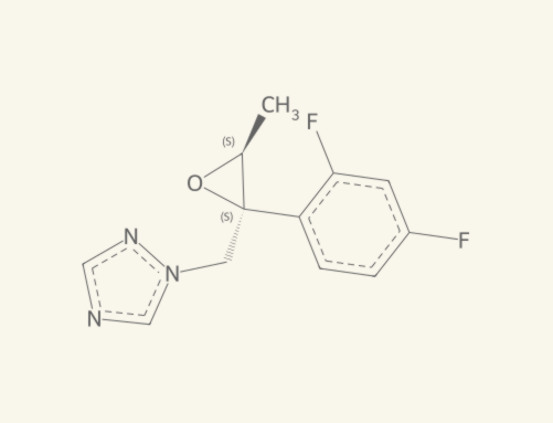 C[C@@H]1O[C@]1(Cn1cncn1)c1ccc(F)cc1F